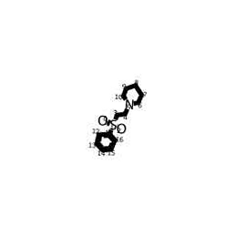 O=S(=O)(CCN1CCCCC1)c1ccccc1